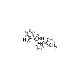 CSC(C)CN1CCCCC1c1nc(-c2ccccc2C)c[nH]1